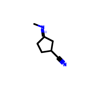 C/N=C1\CCC(C#N)C1